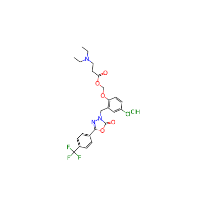 CCN(CC)CCC(=O)OCOc1ccc(Cl)cc1Cn1nc(-c2ccc(C(F)(F)F)cc2)oc1=O.Cl